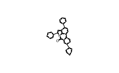 O=c1c2cc(-c3ccccc3)ccc2c2ccc(-c3ccccc3)c3cc(-c4ccccc4)n1c32